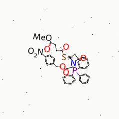 COC(=O)CCC(=O)S[C@@H]1CC(=O)N1C(C(=O)OCc1ccc([N+](=O)[O-])cc1)=P(c1ccccc1)(c1ccccc1)c1ccccc1